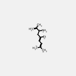 C=C(C)C(N)C/C(=C/C=C(C)C)CC